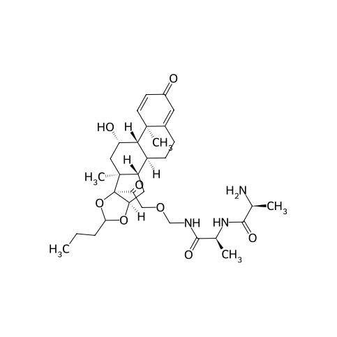 CCCC1O[C@@H]2C[C@H]3[C@@H]4CCC5=CC(=O)C=C[C@]5(C)[C@H]4[C@@H](O)C[C@]3(C)[C@]2(C(=O)COCNC(=O)[C@H](C)NC(=O)[C@H](C)N)O1